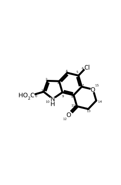 O=C(O)c1cc2cc(Cl)c3c(c2[nH]1)C(=O)CCO3